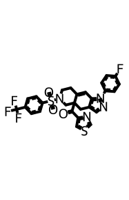 O=C(c1cscn1)C12Cc3cnn(-c4ccc(F)cc4)c3C=C1CCN(S(=O)(=O)c1ccc(C(F)(F)F)cc1)C2